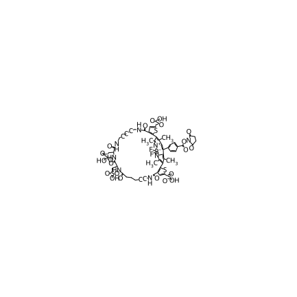 CC1=C2C(C)=[N+]3C1=C(c1ccc(C(=O)ON4C(=O)CCC4=O)cc1)c1c(C)c(c(C)n1[B-]3(F)F)-c1sc(S(=O)(=O)O)cc1C(=O)NCCCCCC(=O)NC(CS(=O)(=O)O)C(=O)NC(CS(=O)(=O)O)C(=O)NCCCCCNC(=O)c1cc(S(=O)(=O)O)sc12